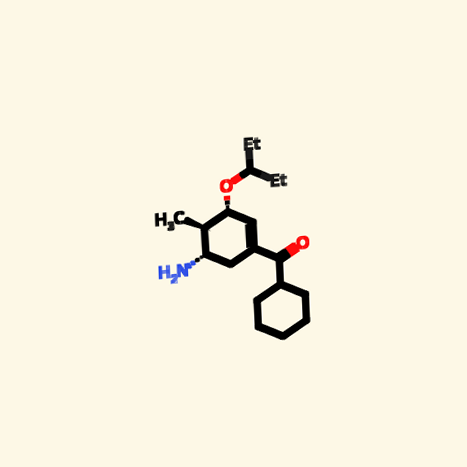 CCC(CC)O[C@@H]1C=C(C(=O)C2CCCCC2)C[C@H](N)[C@H]1C